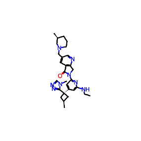 CCNc1cc([C@]2(c3nncn3C)C[C@@H](C)C2)cc(N2Cc3ncc(CN4CCC[C@H](C)C4)cc3C2=O)n1